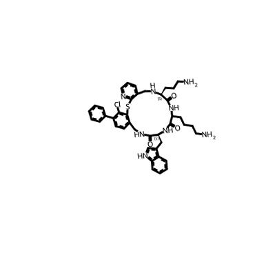 NCCCCC1NC(=O)[C@H](CCCN)NCc2cccnc2Sc2c(ccc(-c3ccccc3)c2Cl)CNC(=O)[C@H](Cc2c[nH]c3ccccc23)NC1=O